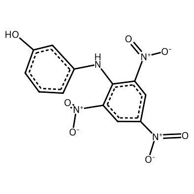 O=[N+]([O-])c1cc([N+](=O)[O-])c(Nc2cccc(O)c2)c([N+](=O)[O-])c1